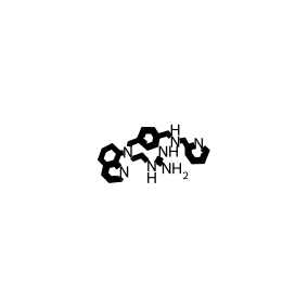 N=C(N)NCCN(Cc1ccc(CNCc2ccccn2)cc1)C1CCCc2cccnc21